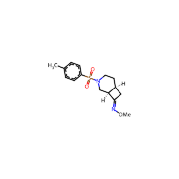 CON=C1C[C@@H]2CCN(S(=O)(=O)c3ccc(C)cc3)C[C@H]12